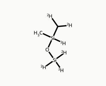 [2H]C([2H])[Si]([2H])(C)O[Si]([2H])([2H])[2H]